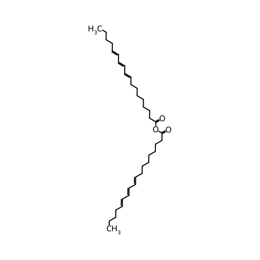 CCCCC=CC=CC=CCCCCCCCC(=O)OC(=O)CCCCCCCC=CC=CC=CCCCC